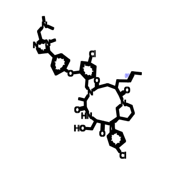 C/C=C/CC1CC(=O)N(Cc2ccc(Cl)cc2Oc2ccc(-c3cnc(CN(C)C)n3C)cc2)C(C)C(=O)NC(CO)C(=O)NC2(Cc3ccc(Cl)cc3)CCCN(C2)C1=O